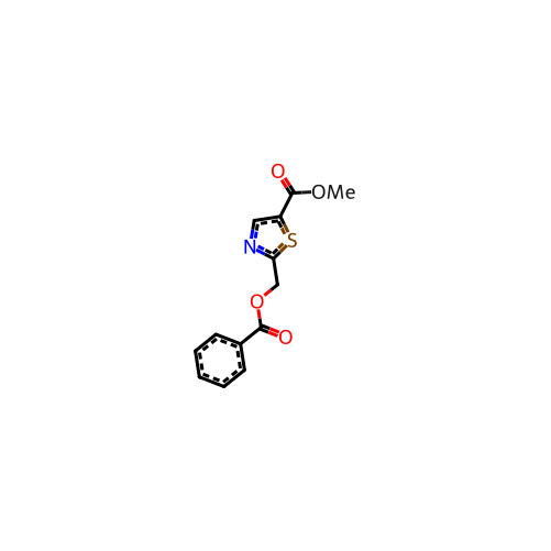 COC(=O)c1cnc(COC(=O)c2ccccc2)s1